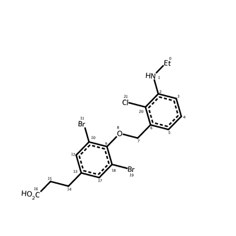 CCNc1cccc(COc2c(Br)cc(CCC(=O)O)cc2Br)c1Cl